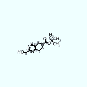 CC(C)(C)OC(=O)N1CCc2nc(CO)ncc2C1